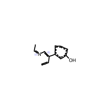 C=C/C(=C\N=C/C)c1cccc(O)c1